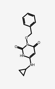 O=c1cc(NC2CC2)[nH]c(=O)n1OCc1ccccc1